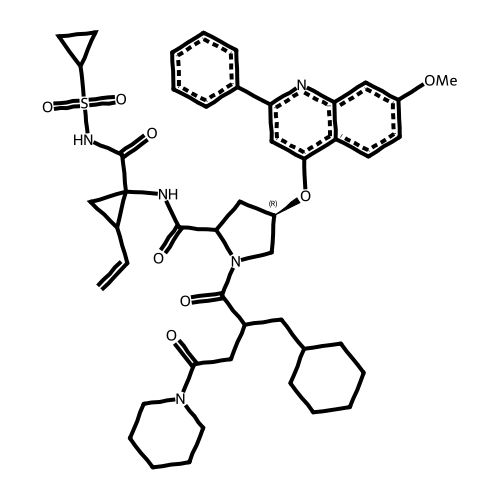 C=CC1CC1(NC(=O)C1C[C@@H](Oc2cc(-c3ccccc3)nc3cc(OC)ccc23)CN1C(=O)C(CC(=O)N1CCCCC1)CC1CCCCC1)C(=O)NS(=O)(=O)C1CC1